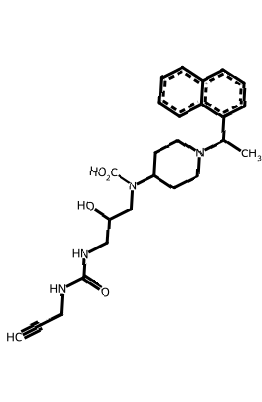 C#CCNC(=O)NCC(O)CN(C(=O)O)C1CCN(C(C)c2cccc3ccccc23)CC1